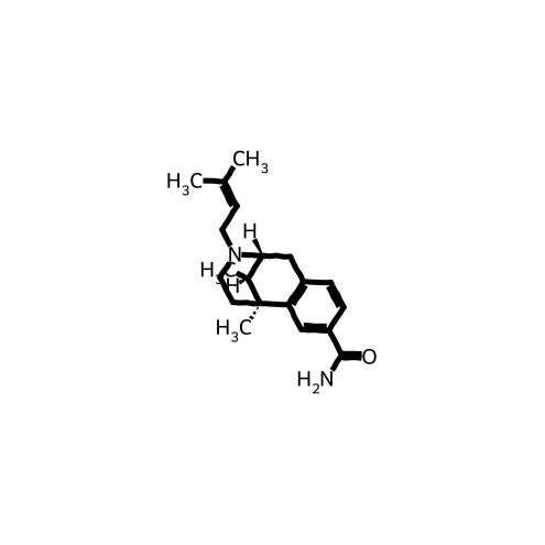 CC(C)=CCN1CC[C@]2(C)c3cc(C(N)=O)ccc3C[C@@H]1[C@@H]2C